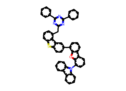 c1ccc(-c2nc(Cc3cccc4sc5ccc(-c6cccc7c6oc6c(-n8c9ccccc9c9ccccc98)cccc67)cc5c34)nc(-c3ccccc3)n2)cc1